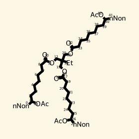 CCCCCCCCCC(CCCCCCCC(=O)OCC(CC)(COC(=O)CCCCCCCC(CCCCCCCCC)OC(C)=O)COC(=O)CCCCCCCC(CCCCCCCCC)OC(C)=O)OC(C)=O